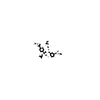 BC(B)(B)n1cnc(-c2cc([C@@H](COC(=O)NC(C)(C)C(F)F)N3C(=N)N[C@](C[C@@]4(C)CC4(F)F)(c4ccc(-c5cnn(C(F)F)c5)cc4)C3=O)ccc2Cl)n1